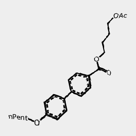 CCCCCOc1ccc(-c2ccc(C(=O)OCCCCOC(C)=O)cc2)cc1